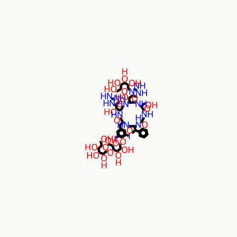 CC(c1ccccc1)C1NC(=O)CNC(=O)C(CO)NC(=O)C(C(O)C2CNC(=N)N2C2OC(CO)C(O)C(O)C2O)NC(=O)C(C(O)C2CNC(=N)N2)NC(=O)C(Cc2cc(I)c(OC3OC(CO)C(OC4OC(CO)C(O)C(O)C4O)C(O)C3O)c(I)c2)NC1=O